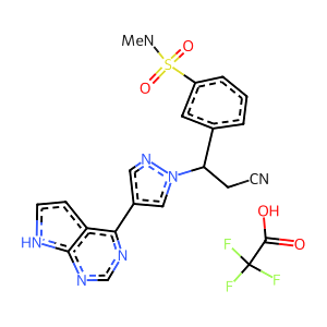 CNS(=O)(=O)c1cccc(C(CC#N)n2cc(-c3ncnc4[nH]ccc34)cn2)c1.O=C(O)C(F)(F)F